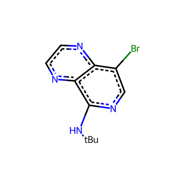 CC(C)(C)Nc1ncc(Br)c2nccnc12